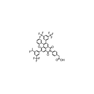 CC(F)c1cc(-c2cc3c(=O)n(-c4ccc(CC(=O)O)cc4)c(=O)c4cc(-c5cc(C(F)(F)F)cc(C(F)(F)F)c5)c5c6ccccc6oc2c5c34)cc(C(F)(F)F)c1